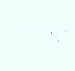 [C-]#[N+]c1ccc(COc2ccc(-c3cn4cccc(C)c4n3)cc2C)cc1